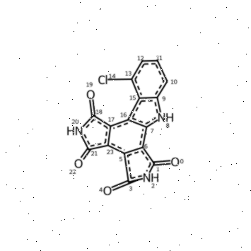 O=c1[nH]c(=O)c2c1c1[nH]c3cccc(Cl)c3c1c1c(=O)[nH]c(=O)c21